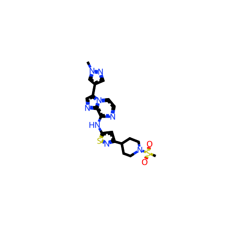 Cn1cc(-c2cnc3c(Nc4cc(C5CCN(S(C)(=O)=O)CC5)ns4)nccn23)cn1